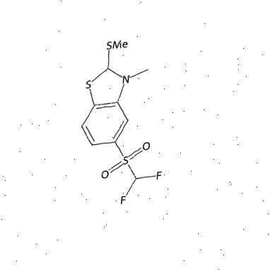 CSC1Sc2ccc(S(=O)(=O)C(F)F)cc2N1C